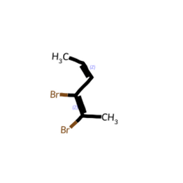 C/C=C\C(Br)=C(/C)Br